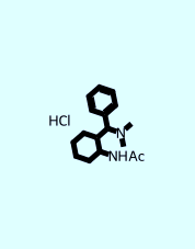 CC(=O)NC1CCCCC1C(c1ccccc1)N(C)C.Cl